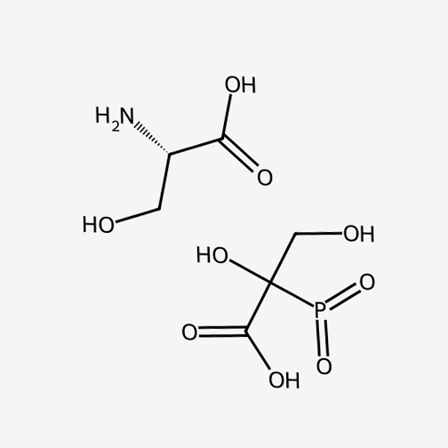 N[C@@H](CO)C(=O)O.O=C(O)C(O)(CO)P(=O)=O